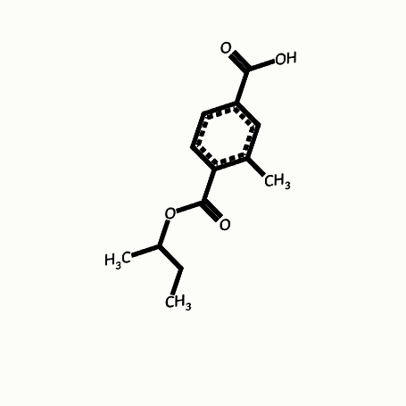 CCC(C)OC(=O)c1ccc(C(=O)O)cc1C